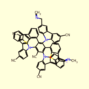 C=NCc1ccc2c(c1)c1cc(C#N)ccc1n2-c1c(-c2cccc3c2sc2ccccc23)c(-n2c3ccc(C#N)cc3c3cc(C#N)ccc32)c(C#N)c(-n2c3ccc(C#N)cc3c3cc(/C=N/C)ccc32)c1-c1cccc2c1sc1ccccc12